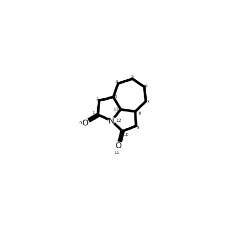 O=C1CC2CCCCC3CC(=O)N1C23